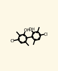 Cc1cc(Cl)c(C)c(O)c1-c1c(C)cc(Cl)c(C)c1O